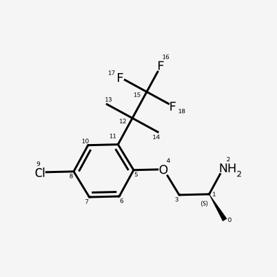 C[C@H](N)COc1ccc(Cl)cc1C(C)(C)C(F)(F)F